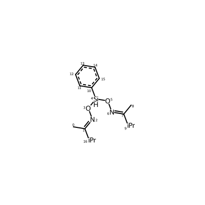 CC(=NO[SiH](ON=C(C)C(C)C)c1ccccc1)C(C)C